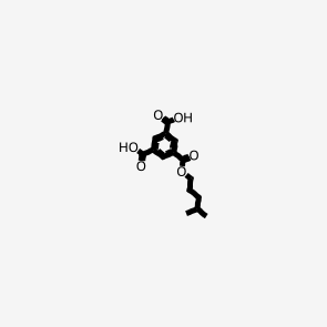 CC(C)CCCOC(=O)c1cc(C(=O)O)cc(C(=O)O)c1